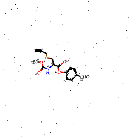 C#CCSCC(NC(=O)OC(C)(C)C)C(=O)Oc1ccc(C=O)cc1